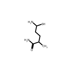 CC(CCC(N)S)C(N)=O